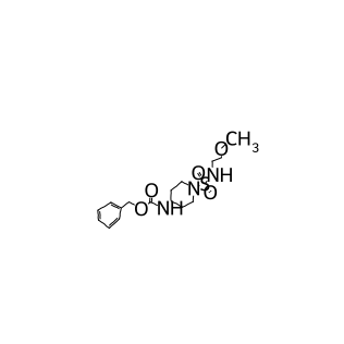 COCCNS(=O)(=O)N1CCC(NC(=O)OCc2ccccc2)CC1